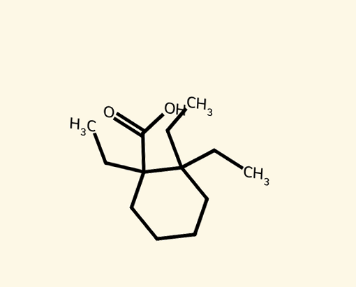 CCC1(CC)CCCCC1(CC)C(=O)O